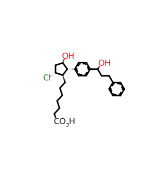 O=C(O)CCCCCC[C@@H]1[C@@H](c2ccc(C(O)CCc3ccccc3)cc2)[C@H](O)C[C@H]1Cl